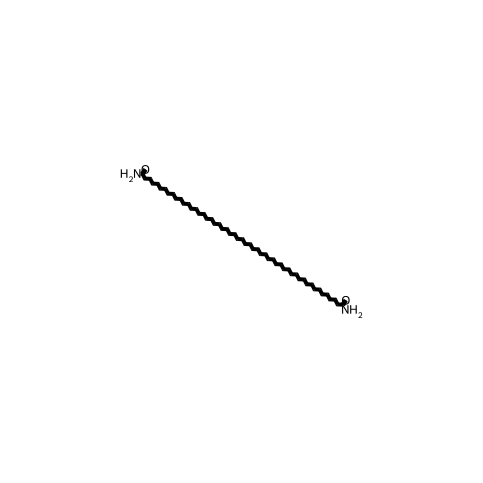 NC(=O)CCCCCCCCCCCCCCCCCCCCCCCCCCCCCCCCCCCCCCCCCCCCCCCCCCCC(N)=O